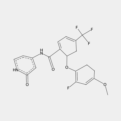 COC1=CC(F)=C(OC2CC(C(F)(F)F)=CC=C2C(=O)Nc2cc[nH]c(=O)c2)CC1